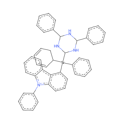 C1=CCC([Si](c2ccccc2)(c2cccc3c2c2ccccc2n3-c2ccccc2)C2NC(c3ccccc3)NC(c3ccccc3)N2)C=C1